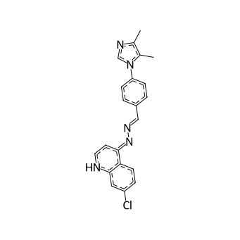 Cc1ncn(-c2ccc(/C=N/N=c3\cc[nH]c4cc(Cl)ccc34)cc2)c1C